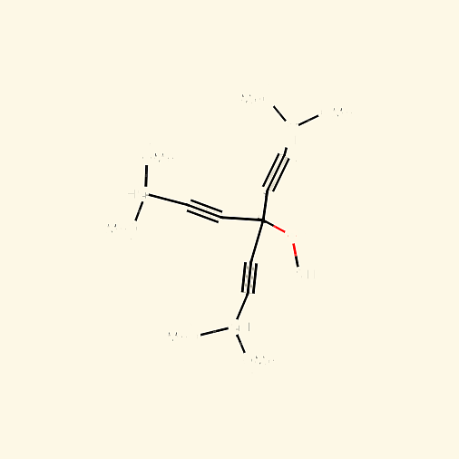 CO[SiH](C#CC(C#C[SiH](OC)OC)(C#C[SiH](OC)OC)O[SiH3])OC